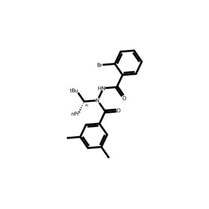 CCC[C@@H](N(NC(=O)c1ccccc1Br)C(=O)c1cc(C)cc(C)c1)C(C)(C)C